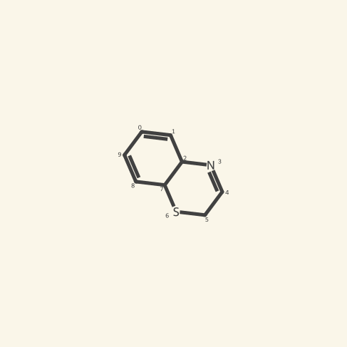 C1=CC2N=CCSC2C=C1